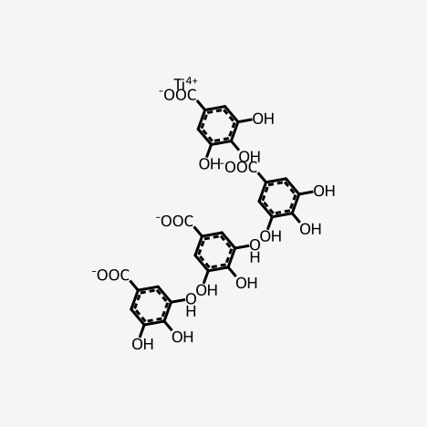 O=C([O-])c1cc(O)c(O)c(O)c1.O=C([O-])c1cc(O)c(O)c(O)c1.O=C([O-])c1cc(O)c(O)c(O)c1.O=C([O-])c1cc(O)c(O)c(O)c1.[Ti+4]